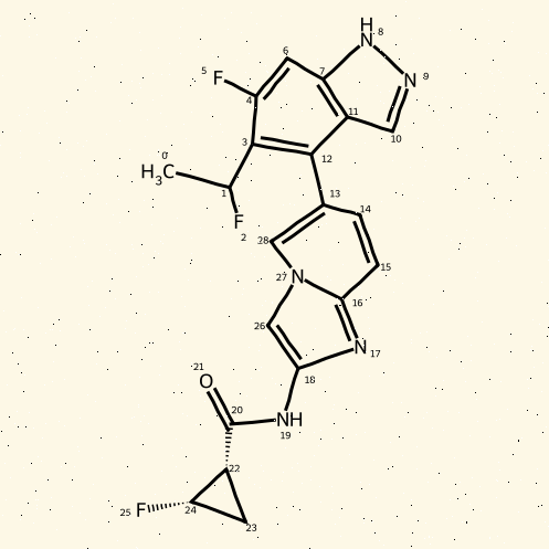 CC(F)c1c(F)cc2[nH]ncc2c1-c1ccc2nc(NC(=O)[C@@H]3C[C@@H]3F)cn2c1